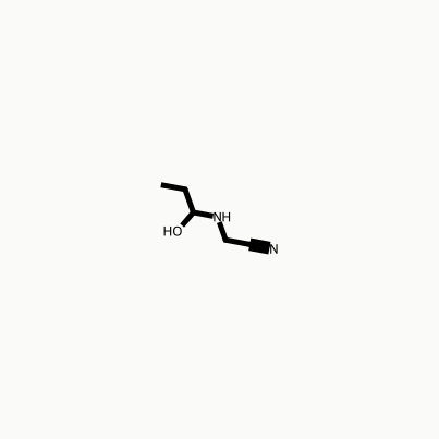 CCC(O)NCC#N